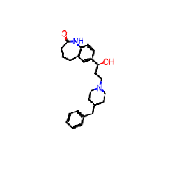 O=C1CCCc2cc(C(O)CCN3CCC(Cc4ccccc4)CC3)ccc2N1